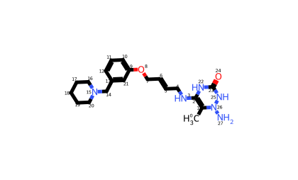 CC1=C(NCC=CCOc2cccc(CN3CCCCC3)c2)NC(=O)NN1N